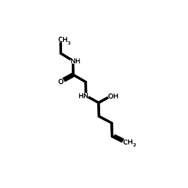 C=CCCC(O)NCC(=O)NCC